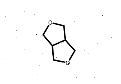 [CH]1OCC2COCC12